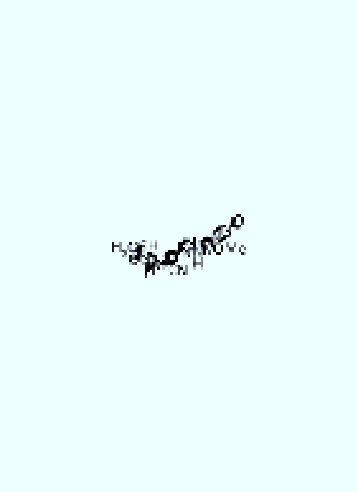 COc1nc(Nc2nccc(-c3ccc(OC4CCN(C(=O)[C@@H](C)O)CC4(F)F)c(C#N)c3)n2)ccc1N1CCN(C2COC2)CC1